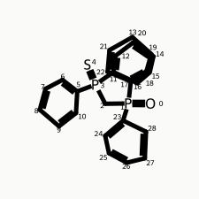 O=P(CP(=S)(c1ccccc1)c1ccccc1)(c1ccccc1)c1ccccc1